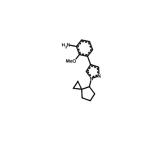 COc1c(N)cccc1-c1cnn(C2CCCC23CC3)c1